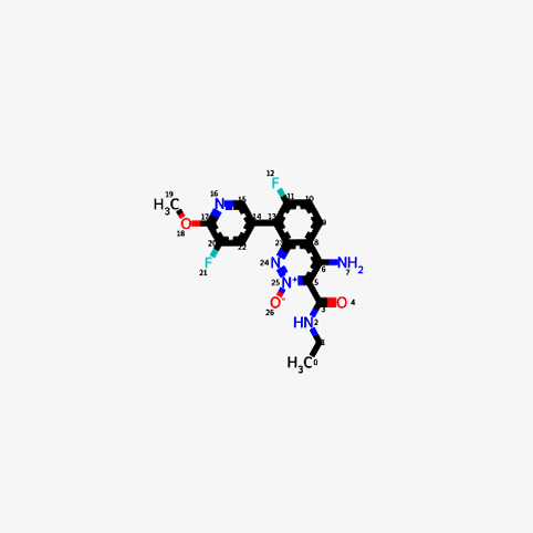 CCNC(=O)c1c(N)c2ccc(F)c(-c3cnc(OC)c(F)c3)c2n[n+]1[O-]